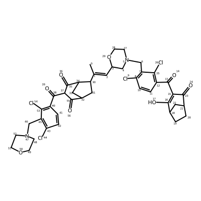 C/C(=C\C1CN(Cc2c(Cl)ccc(C(=O)C3=C(O)C4CCC(C4)C3=O)c2Cl)CCO1)C1CC2CC1C(=O)C(C(=O)c1ccc(Cl)c(CN3CCOCC3)c1Cl)C2=O